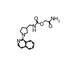 NC(=O)COC(=O)NCC1CCN(c2nccc3ccccc23)C1